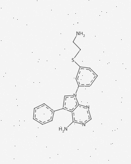 NCCSc1cccc(-n2cc(-c3ccccc3)c3c(N)ncnc32)c1